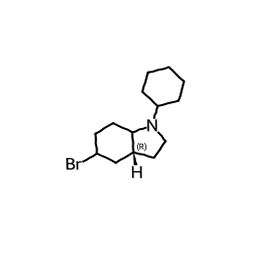 BrC1CCC2[C@H](CCN2C2CCCCC2)C1